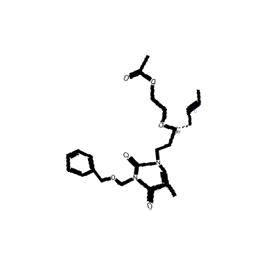 C/C=C/C[C@H](CCn1cc(C)c(=O)n(COCc2ccccc2)c1=O)OCCOC(C)=O